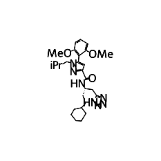 COc1cccc(OC)c1-c1cc(C(=O)N[C@@H](CCC2CCCCC2)Cc2nnn[nH]2)nn1CC(C)C